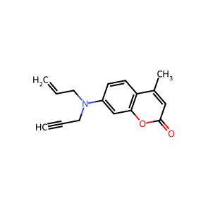 C#CCN(CC=C)c1ccc2c(C)cc(=O)oc2c1